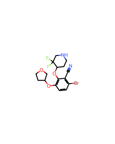 N#Cc1c(Br)ccc(OC2CCOC2)c1OC1CCNCC1(F)F